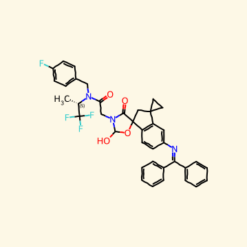 C[C@H](N(Cc1ccc(F)cc1)C(=O)CN1C(=O)C2(CC3(CC3)c3cc(N=C(c4ccccc4)c4ccccc4)ccc32)OC1O)C(F)(F)F